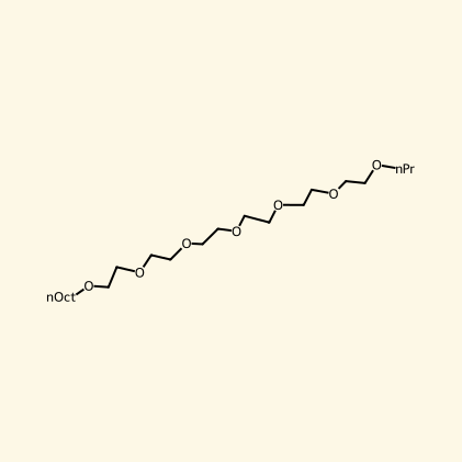 CCCCCCCCOCCOCCOCCOCCOCCOCCOCCC